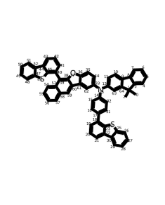 CC1(C)c2ccccc2-c2ccc(N(c3ccc(-c4cccc5c4sc4ccccc45)cc3)c3ccc4oc5c(-c6cccc7c6sc6ccccc67)c6ccccc6cc5c4c3)cc21